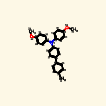 Bc1ccc(-c2ccc(N(c3ccc(OC)cc3)c3ccc(OC)cc3)cc2)cc1